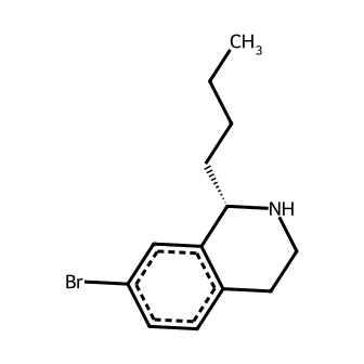 CCCC[C@@H]1NCCc2ccc(Br)cc21